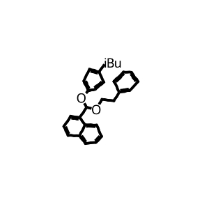 CCC(C)c1ccc(OC(OCCc2ccccc2)c2cccc3ccccc23)cc1